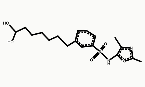 Cc1nc(C)c(NS(=O)(=O)c2cccc(CCCCCCC(O)O)c2)s1